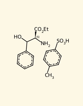 CCOC(=O)[C@@H](N)C(O)c1ccccc1.Cc1ccc(S(=O)(=O)O)cc1